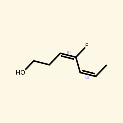 C/C=C\C(F)=C/CCO